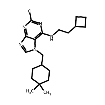 CC1(C)CCC(Cn2cnc3nc(Cl)nc(NCCC4CCC4)c32)CC1